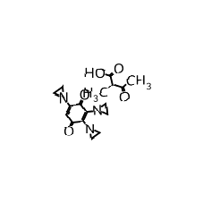 CC(=O)C(C)C(=O)O.O=C1C=C(N2CC2)C(=O)C(N2CC2)=C1N1CC1